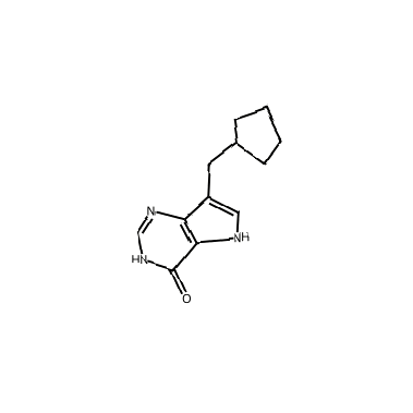 O=c1[nH]cnc2c(CC3CCCC3)c[nH]c12